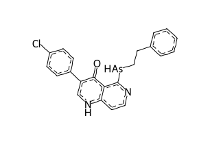 O=c1c(-c2ccc(Cl)cc2)c[nH]c2ccnc([AsH]CCc3ccccc3)c12